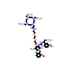 CCOc1cccc(C(CC(=O)O)NC(=O)Nc2c(OCCOCCOCCNC(=O)CN3CCN(CC(=O)O)CCN(CC(=O)O)CCN(CC(=O)O)CC3)c(C)cn(Cc3c(Cl)cccc3OCC)c2=O)c1